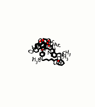 CC[C@@]1(O)C(=O)OCc2c1cc1n(c2=O)Cc2cc3c(CN(C)C)c(OC(=O)N4C5CCC4CN(CCCCCCN(C)c4ccc(C6CC7(C)[C@@H](CCC7(COC(C)=O)C(C)=O)C7CCC8=CC(=O)CCC8=C67)cc4)C5)ccc3nc2-1